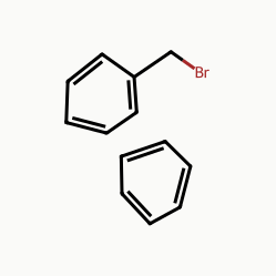 BrCc1ccccc1.c1ccccc1